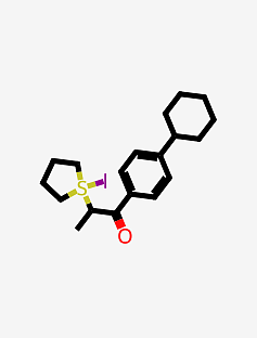 CC(C(=O)c1ccc(C2CCCCC2)cc1)S1(I)CCCC1